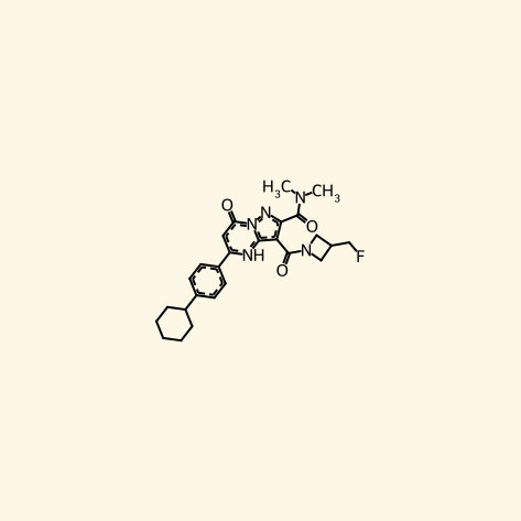 CN(C)C(=O)c1nn2c(=O)cc(-c3ccc(C4CCCCC4)cc3)[nH]c2c1C(=O)N1CC(CF)C1